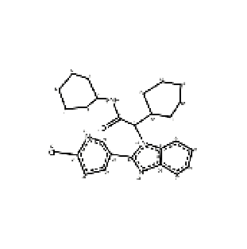 O=C(NC1CCCCC1)C(C1CCCCC1)n1c(-c2ccc(Cl)nc2)nc2ccccc21